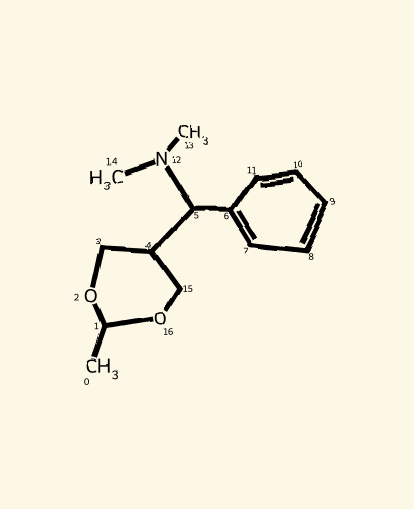 CC1OCC(C(c2ccccc2)N(C)C)CO1